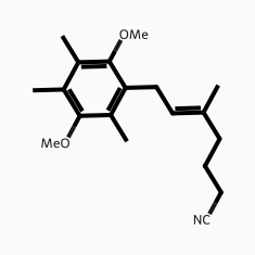 COc1c(C)c(C)c(OC)c(C/C=C(\C)CCCC#N)c1C